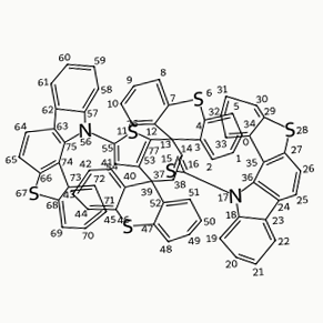 c1ccc2c(c1)Sc1ccccc1C21c2cc(-n3c4ccccc4c4ccc5sc6ccccc6c5c43)sc2C2(c3ccccc3Sc3ccccc32)c2cc(-n3c4ccccc4c4ccc5sc6ccccc6c5c43)sc21